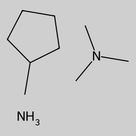 CC1CCCC1.CN(C)C.N